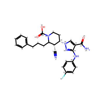 N#C[C@@H]1C(CCCc2ccccc2)N(C(=O)O)CC[C@@H]1n1cc(C(N)=O)c(Nc2ccc(F)cc2)n1